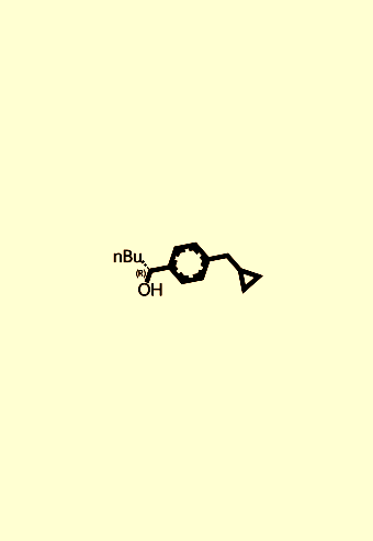 CCCC[C@@H](O)c1ccc(CC2CC2)cc1